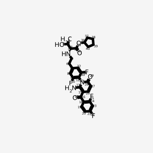 CC(O)[C@H](NCCc1cc(F)c(-n2c(N)c(C(=O)c3ccc(F)cc3F)ccc2=O)c(F)c1)C(=O)OC1CCCC1